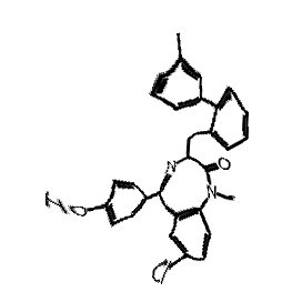 Cc1cccc(-c2ccccc2CC2N=C(c3ccc(O)cc3)c3cc(Cl)ccc3N(C)C2=O)c1